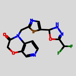 O=C1COc2cnccc2N1Cc1ncc(C2NN=C(C(F)F)O2)s1